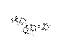 Nc1ncnc(Oc2cccc(NC(=O)CCl)c2)c1-c1ccc(OCc2ccccc2)cc1